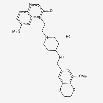 COc1ccc2ncc(=O)n(CCN3CCC(NCc4cc(OC)c5c(c4)OCCO5)CC3)c2c1.Cl